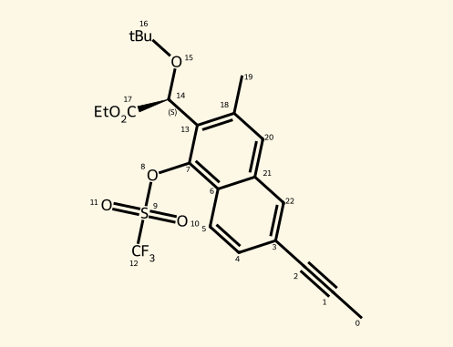 CC#Cc1ccc2c(OS(=O)(=O)C(F)(F)F)c([C@H](OC(C)(C)C)C(=O)OCC)c(C)cc2c1